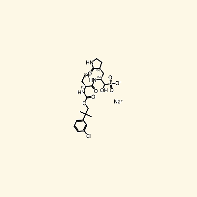 CC(C)C[C@H](NC(=O)OCC(C)(C)c1cccc(Cl)c1)C(=O)N[C@@H](C[C@@H]1CCNC1=O)C(O)S(=O)(=O)[O-].[Na+]